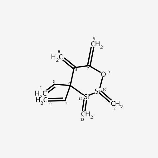 C=CC1(C=C)C(=C)C(=C)O[Si](=C)[Si]1=C